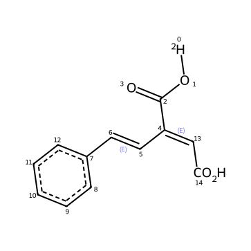 [2H]OC(=O)C(/C=C/c1ccccc1)=C/C(=O)O